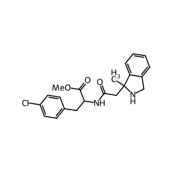 COC(=O)C(Cc1ccc(Cl)cc1)NC(=O)CC1(C)NCc2ccccc21